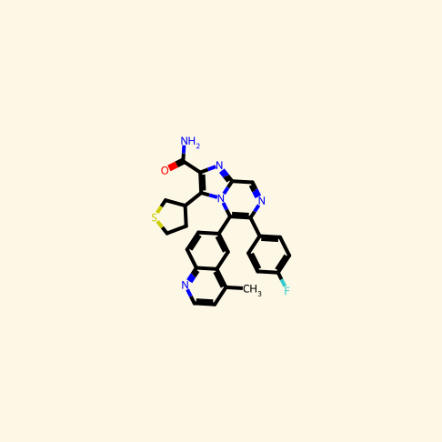 Cc1ccnc2ccc(-c3c(-c4ccc(F)cc4)ncc4nc(C(N)=O)c(C5CCSC5)n34)cc12